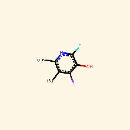 CC(C)(C)c1c([N+](=O)[O-])nc(F)c(O)c1I